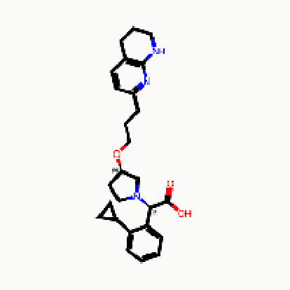 O=C(O)[C@@H](c1ccccc1C1CC1)N1CC[C@@H](OCCCc2ccc3c(n2)NCCC3)C1